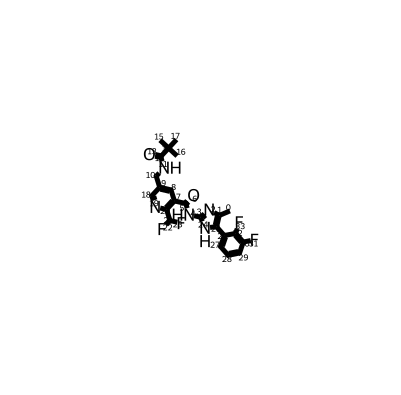 Cc1nc(NC(=O)c2cc(CNC(=O)C(C)(C)C)cnc2C(F)F)[nH]c1-c1cccc(F)c1F